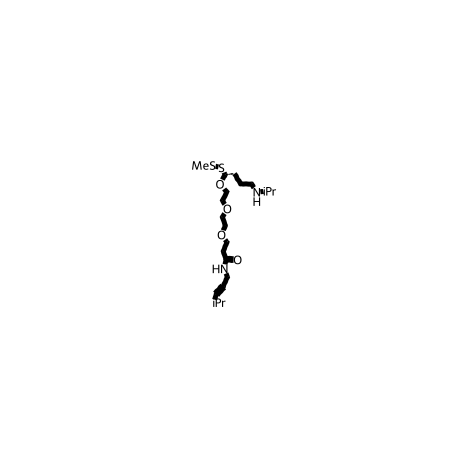 CSS[C@H](CCCNC(C)C)OCCOCCOCCC(=O)NCC#CC(C)C